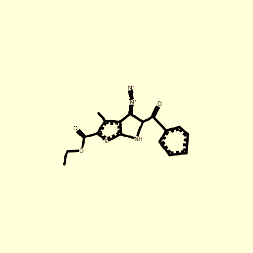 CCOC(=O)c1sc2c(c1C)C(=[N+]=[N-])C(C(=O)c1ccccc1)N2